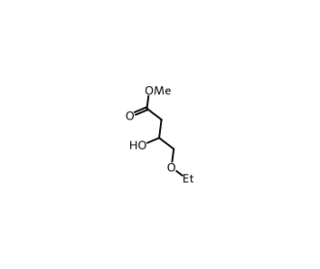 CCOCC(O)CC(=O)OC